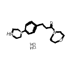 Cl.Cl.O=C(CCc1ccc(N2CCNCC2)cc1)N1CCOCC1